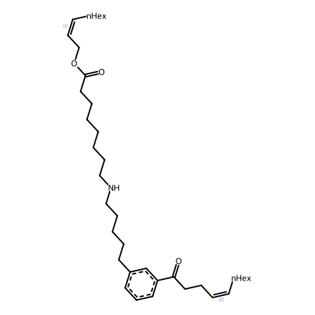 CCCCCC/C=C\CCC(=O)c1cccc(CCCCCNCCCCCCCC(=O)OC/C=C\CCCCCC)c1